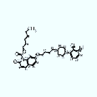 CCCCCCOC(=O)n1c(=O)ccc2ccc(OCCCCN3CCN(c4cccc(Cl)c4Cl)CC3)cc21